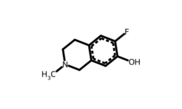 CN1CCc2cc(F)c(O)cc2C1